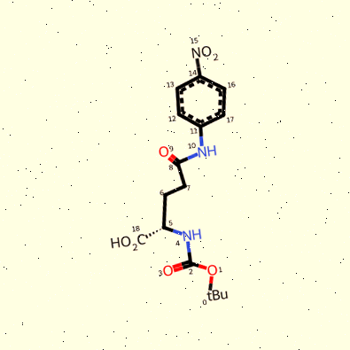 CC(C)(C)OC(=O)N[C@@H](CCC(=O)Nc1ccc([N+](=O)[O-])cc1)C(=O)O